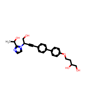 CC(O)c1nccn1C(C#Cc1ccc(-c2ccc(OCCC(O)CO)cc2)cc1)CO